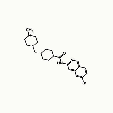 CN1CCN(C[C@H]2CC[C@H](C(=O)Nc3cc4cc(Br)ccc4cn3)CC2)CC1